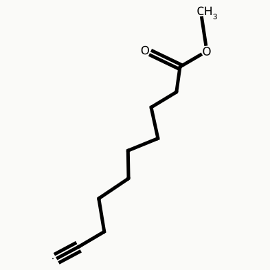 [C]#CCCCCCCCC(=O)OC